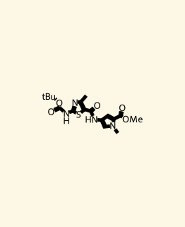 COC(=O)c1cc(NC(=O)c2sc(NC(=O)OC(C)(C)C)nc2C)cn1C